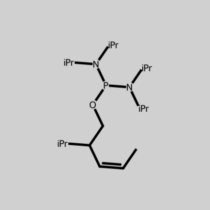 C/C=C\C(COP(N(C(C)C)C(C)C)N(C(C)C)C(C)C)C(C)C